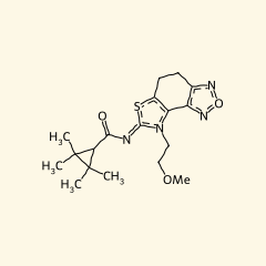 COCCn1c2c(s/c1=N\C(=O)C1C(C)(C)C1(C)C)CCc1nonc1-2